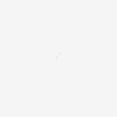 CCCCCCCC/C=C(\C=O)OCOCCCCC